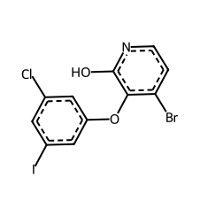 Oc1nccc(Br)c1Oc1cc(Cl)cc(I)c1